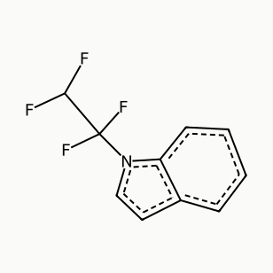 FC(F)C(F)(F)n1ccc2ccccc21